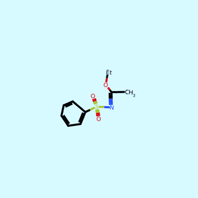 CCOC(C)=NS(=O)(=O)c1ccccc1